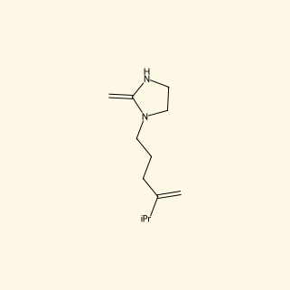 C=C(CCCN1CCNC1=C)C(C)C